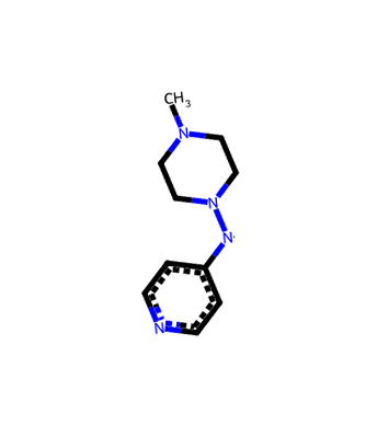 CN1CCN([N]c2ccncc2)CC1